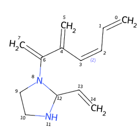 C=C/C=C\C(=C)C(=C)N1CCNC1C=C